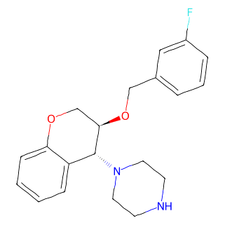 Fc1cccc(CO[C@@H]2COc3ccccc3[C@H]2N2CCNCC2)c1